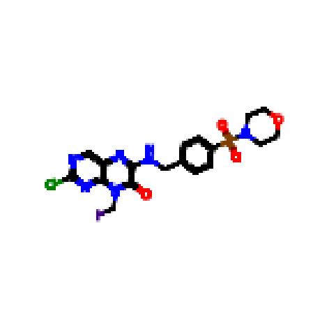 O=c1c(NCc2ccc(S(=O)(=O)N3CCOCC3)cc2)nc2cnc(Cl)nc2n1CI